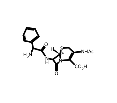 CC(=O)NC1=C(C(=O)O)N2C(=O)C(NC(=O)C(N)c3ccccc3)[C@@H]2SC1